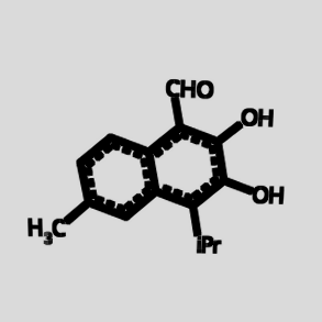 Cc1ccc2c(C=O)c(O)c(O)c(C(C)C)c2c1